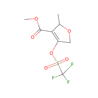 COC(=O)C1=C(OS(=O)(=O)C(F)(F)F)COC1C